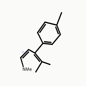 CN/C=C\C(=C(C)C)c1ccc(C)cc1